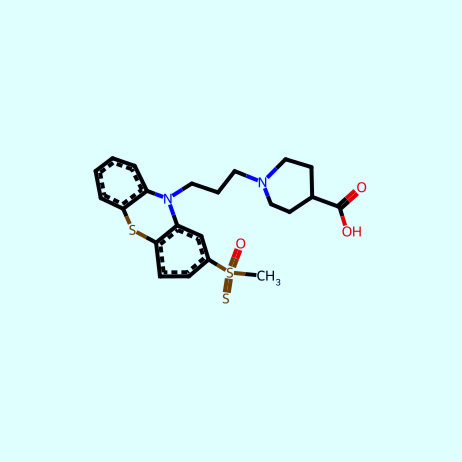 CS(=O)(=S)c1ccc2c(c1)N(CCCN1CCC(C(=O)O)CC1)c1ccccc1S2